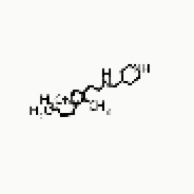 C=C/C=C\c1c(C)c(CCNCC2CCNCC2)cn1C